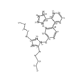 CCCCCc1nc(CCCCC)n(Cc2ccc(-c3cccnc3-c3nnn[nH]3)cc2)n1